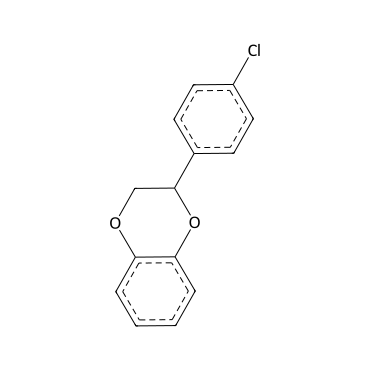 Clc1ccc(C2COc3ccccc3O2)cc1